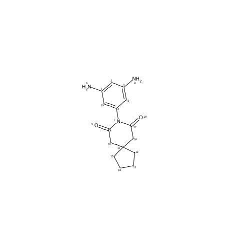 Nc1cc(N)cc(N2C(=O)CC3(CCCC3)CC2=O)c1